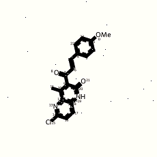 COc1ccc(/C=C/C(=O)c2c(C)c3nc(Cl)ccc3[nH]c2=O)cc1